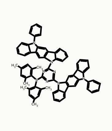 Cc1cc(C)c(B(c2nc(-n3c4ccccc4c4cc5c(cc43)c3ccccc3n5-c3ccccc3)nc(-n3c4ccccc4c4cc5c(cc43)c3ccccc3n5-c3ccccc3)n2)c2c(C)cc(C)cc2C)c(C)c1